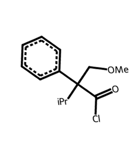 COCC(C(=O)Cl)(c1ccccc1)C(C)C